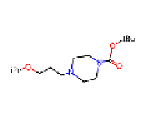 CC(C)OCCCN1CCN(C(=O)OC(C)(C)C)CC1